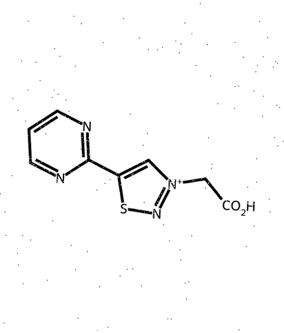 O=C(O)C[n+]1cc(-c2ncccn2)sn1